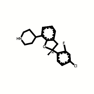 C[C@]1(c2ccc(Cl)cc2F)Cc2cccc(C3CCNCC3)c2O1